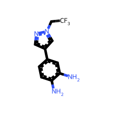 Nc1ccc(-c2cnn(CC(F)(F)F)c2)cc1N